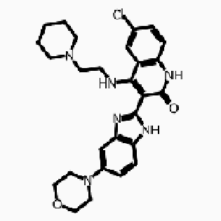 O=c1[nH]c2ccc(Cl)cc2c(NCCN2CCCCC2)c1-c1nc2cc(N3CCOCC3)ccc2[nH]1